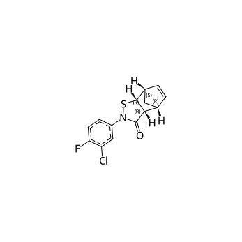 O=C1[C@@H]2[C@H](SN1c1ccc(F)c(Cl)c1)[C@@H]1C=C[C@H]2C1